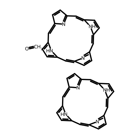 C1=Cc2cc3ccc(cc4nc(cc5ccc(cc1n2)[nH]5)C=C4)[nH]3.C1=Cc2cc3ccc(cc4nc(cc5ccc(cc1n2)[nH]5)C=C4)[nH]3.C=O